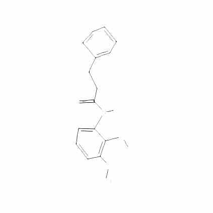 COc1cccc(N(C)C(=O)CCc2ccccc2)c1OC